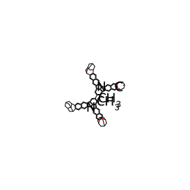 Cc1c(-c2cc3c4cc5cc6c(cc5cc4n4c5cc7cc8c(cc7cc5c(c2C)c34)C2CC3CC(C2)CC8C3)C2CC3CC(CC6C3)C2)cc2c3cc4cc5c(cc4cc3n3c4cc6cc7c(cc6cc4c1c23)C1CC2CC(C1)CC7C2)C1CC2CC(CC5C2)C1